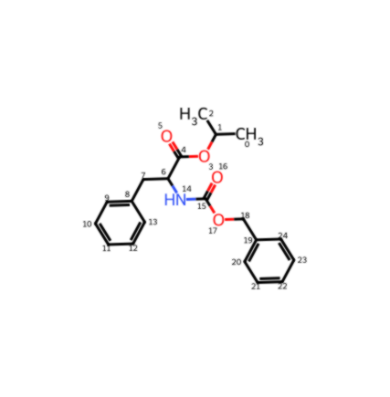 CC(C)OC(=O)C(Cc1ccccc1)NC(=O)OCc1ccccc1